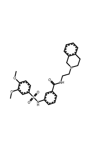 COc1ccc(S(=O)(=O)Nc2cccc(C(=O)NCCN3CCc4ccccc4C3)c2)cc1OC